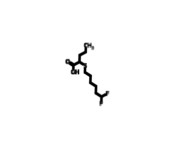 CCCC(SCCCCCC(F)F)C(=O)O